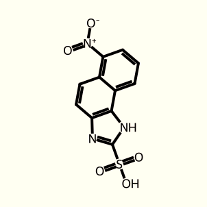 O=[N+]([O-])c1cccc2c1ccc1nc(S(=O)(=O)O)[nH]c12